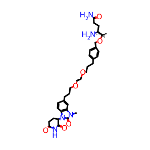 C[C@@H](OCc1ccc(CCCOCCOCCCc2ccc3c(c2)n(C)c(=O)n3C2CCC(=O)NC2=O)cc1)[C@@H](N)CCC(N)=O